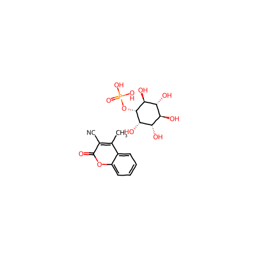 Cc1c(C#N)c(=O)oc2ccccc12.O=P(O)(O)O[C@@H]1[C@@H](O)[C@H](O)[C@@H](O)[C@H](O)[C@@H]1O